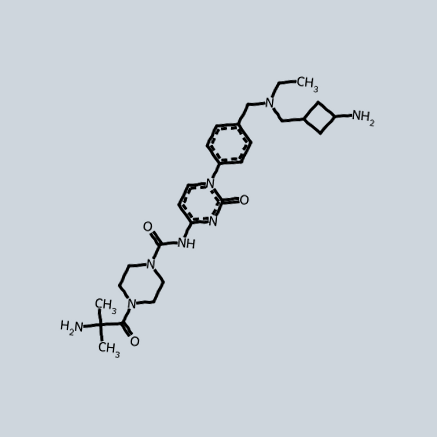 CCN(Cc1ccc(-n2ccc(NC(=O)N3CCN(C(=O)C(C)(C)N)CC3)nc2=O)cc1)CC1CC(N)C1